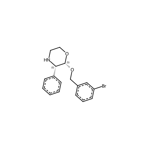 Brc1cccc(CO[C@H]2OCCN[C@H]2c2ccccc2)c1